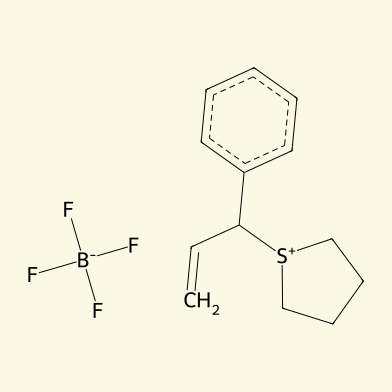 C=CC(c1ccccc1)[S+]1CCCC1.F[B-](F)(F)F